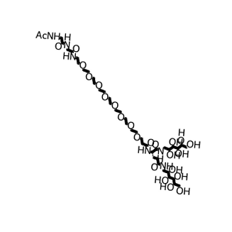 CC(=O)NCC(=O)NCC(=O)NCCOCCOCCOCCOCCOCCOCCOCCOCCC(=O)N[C@@H](CCC(=O)NC[C@H](O)[C@@H](O)[C@H](O)[C@H](O)CO)C(=O)NC[C@H](O)[C@@H](O)[C@H](O)[C@H](O)CO